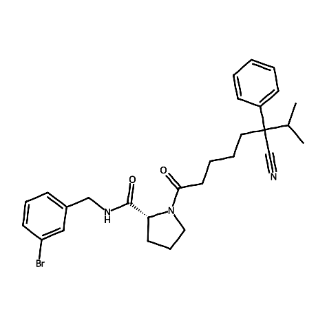 CC(C)C(C#N)(CCCCC(=O)N1CCC[C@@H]1C(=O)NCc1cccc(Br)c1)c1ccccc1